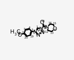 COc1ccc(-[n+]2cn(C(=O)N3CCOCC3)nn2)cc1